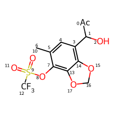 CC(=O)C(O)c1cc(C)c(OS(=O)(=O)C(F)(F)F)c2c1OCO2